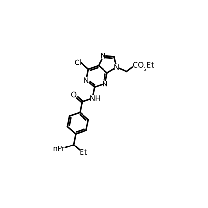 CCCC(CC)c1ccc(C(=O)Nc2nc(Cl)c3ncn(CC(=O)OCC)c3n2)cc1